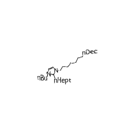 CCCCCCCCCCCCCCCCCN1C=CN(CCCC)C1CCCCCCC